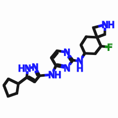 FC1CC(Nc2nccc(Nc3cc(C4CCCC4)[nH]n3)n2)CCC12CNC2